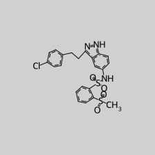 CS(=O)(=O)c1ccccc1S(=O)(=O)Nc1ccc2[nH]nc(CCc3ccc(Cl)cc3)c2c1